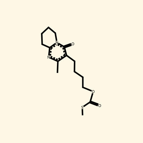 CSC(=O)OCCCCc1c(C)nc2n(c1=O)CCCC2